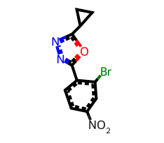 O=[N+]([O-])c1ccc(-c2nnc(C3CC3)o2)c(Br)c1